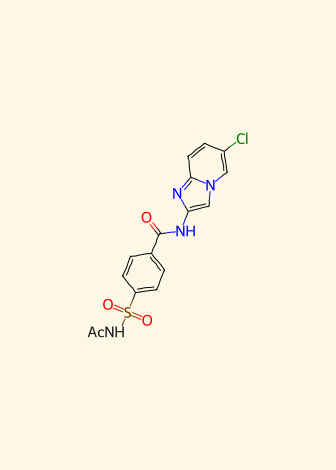 CC(=O)NS(=O)(=O)c1ccc(C(=O)Nc2cn3cc(Cl)ccc3n2)cc1